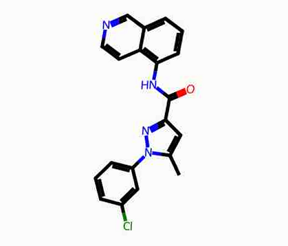 Cc1cc(C(=O)Nc2cccc3cnccc23)nn1-c1cccc(Cl)c1